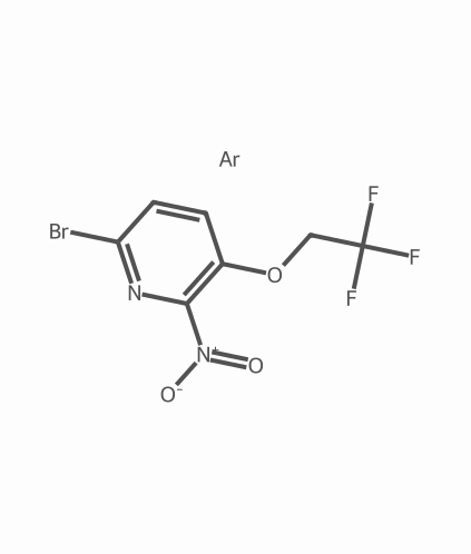 O=[N+]([O-])c1nc(Br)ccc1OCC(F)(F)F.[Ar]